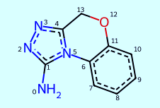 Nc1nnc2n1-c1ccccc1OC2